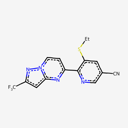 CCSc1cc(C#N)cnc1-c1ccn2nc(C(F)(F)F)cc2n1